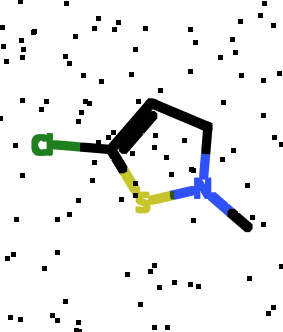 CN1CC=C(Cl)S1